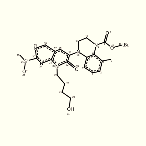 Cc1cccc2c1N(C(=O)OC(C)(C)C)CCN2c1cc2cnc([S+](C)[O-])nc2n(CCCCO)c1=O